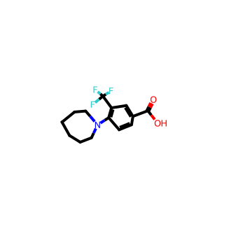 O=C(O)c1ccc(N2CCCCCC2)c(C(F)(F)F)c1